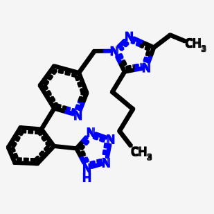 CCCCc1nc(CC)nn1Cc1ccc(-c2ccccc2-c2nnn[nH]2)nc1